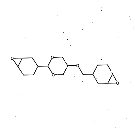 C1CC2OC2CC1COC1COC(C2CCC3OC3C2)OC1